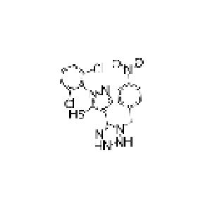 O=[N+]([O-])c1ccc(CN2NNN=C2c2cnn(-c3c(Cl)cccc3Cl)c2S)cc1